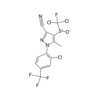 Cc1c([S+]([O-])C(F)(Cl)Cl)c(C#N)nn1-c1ccc(C(F)(F)F)cc1Cl